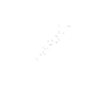 COC1C=CC(C(=O)N2CCC[C@@H]2c2cccc(C(=O)Nc3nc4c(s3)CN(C)CC4)c2)=CC1Cl